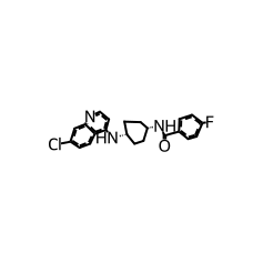 O=C(N[C@H]1CC[C@@H](Nc2ccnc3cc(Cl)ccc23)CC1)c1ccc(F)cc1